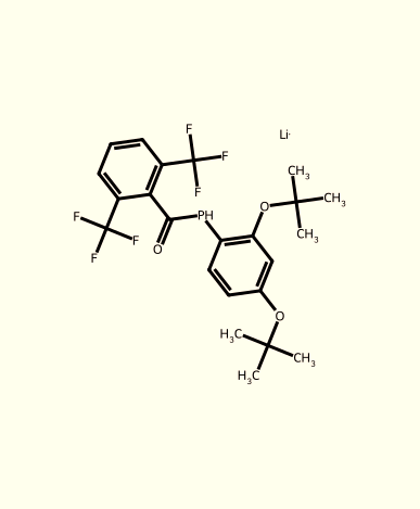 CC(C)(C)Oc1ccc(PC(=O)c2c(C(F)(F)F)cccc2C(F)(F)F)c(OC(C)(C)C)c1.[Li]